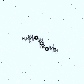 CC(=N)N/N=C(\C)c1cccc(NCC2CCC(CNc3cccc(/C(C)=N/NC(=N)N)c3)CC2)c1